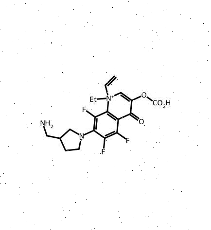 C=C[N+]1(CC)C=C(OC(=O)O)C(=O)c2c(F)c(F)c(N3CCC(CN)C3)c(F)c21